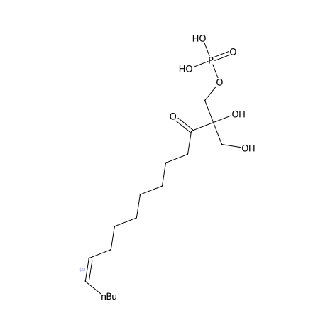 CCCC/C=C\CCCCCCCC(=O)C(O)(CO)COP(=O)(O)O